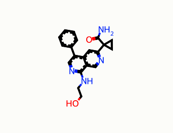 NC(=O)C1(c2cc3c(-c4ccccc4)cnc(NCCO)c3cn2)CC1